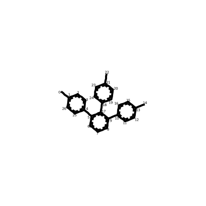 Cc1ccc(-c2[c]ccc(-c3ccc(C)cc3)c2-c2ccc(C)cc2)cc1